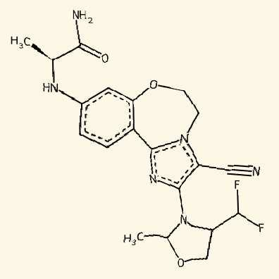 CC1OCC(C(F)F)N1c1nc2n(c1C#N)CCOc1cc(N[C@@H](C)C(N)=O)ccc1-2